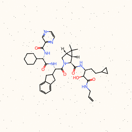 C=CCNC(=O)C(O)C(CCC1CC1)NC(=O)[C@@H]1[C@@H]2[C@H](CN1C(=O)[C@@H](NC(=O)[C@@H](NC(=O)c1cnccn1)C1CCCCC1)C1Cc3ccccc3C1)C2(C)C